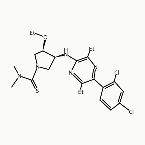 CCO[C@@H]1CN(C(=S)N(C)C)C[C@@H]1Nc1nc(CC)c(-c2ccc(Cl)cc2Cl)nc1CC